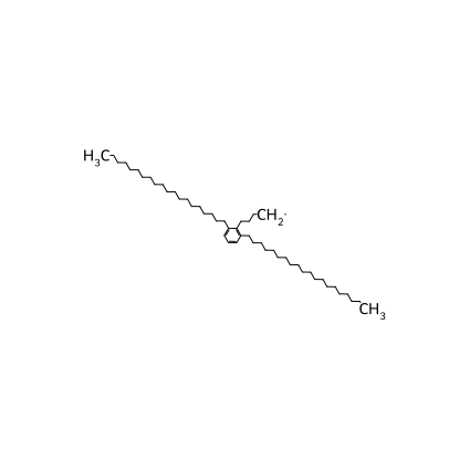 [CH2]CCCc1c(CCCCCCCCCCCCCCCCCCCC)cccc1CCCCCCCCCCCCCCCCCCCC